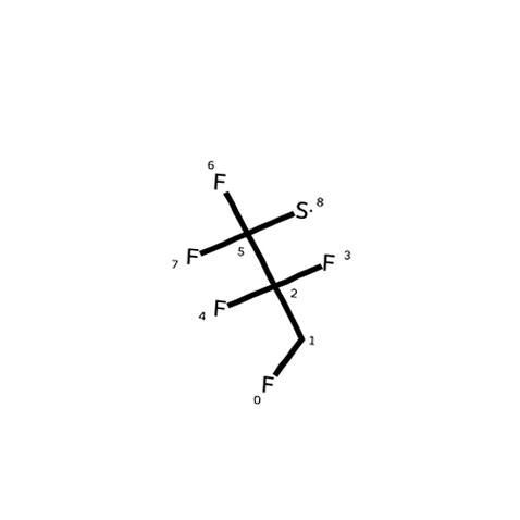 FCC(F)(F)C(F)(F)[S]